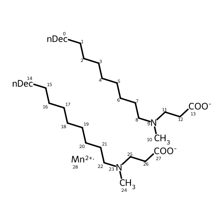 CCCCCCCCCCCCCCCCCCN(C)CCC(=O)[O-].CCCCCCCCCCCCCCCCCCN(C)CCC(=O)[O-].[Mn+2]